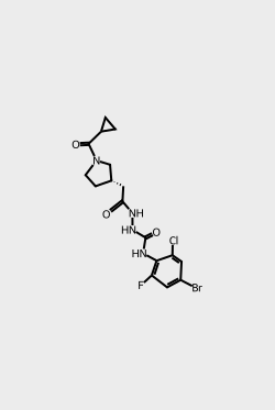 O=C(C[C@@H]1CCN(C(=O)C2CC2)C1)NNC(=O)Nc1c(F)cc(Br)cc1Cl